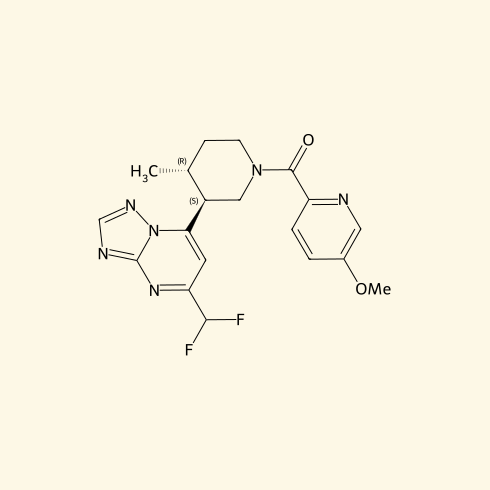 COc1ccc(C(=O)N2CC[C@@H](C)[C@H](c3cc(C(F)F)nc4ncnn34)C2)nc1